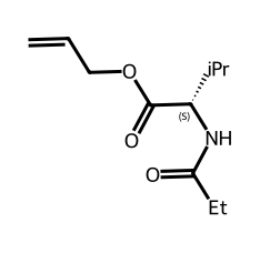 C=CCOC(=O)[C@@H](NC(=O)CC)C(C)C